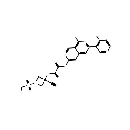 CCS(=O)(=O)N1CC(C#N)(NC(=O)C(=O)Nc2cc3cc(-c4cnccc4C)nc(N)c3cn2)C1